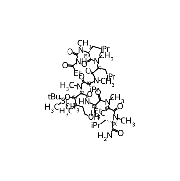 CCC(=O)NC(=O)N(C)[C@@H](CC(C)C)C(=O)N(C)[C@@H](CC(C)C)C(=O)N(C)[C@H](C(=O)N(C)[C@H](C(=O)N[C@@H](CC)C(=O)N(C)[C@H](C)C(=O)N(C)[C@@H](CC(C)C)C(N)=O)[C@H](O[Si](C)(C)C(C)(C)C)[C@H](C)CCO)C(C)C